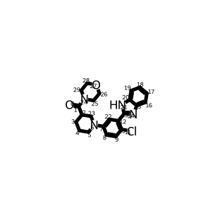 O=C(C1CCCN(c2ccc(Cl)c(-c3nc4ccccc4[nH]3)c2)C1)N1CCOCC1